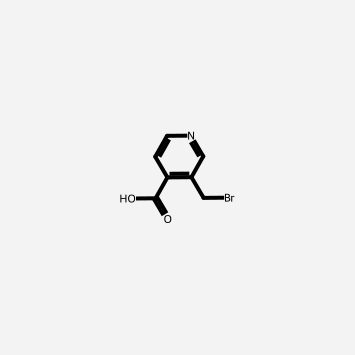 O=C(O)c1ccncc1CBr